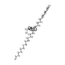 CCCCCCCCCCCCCCCC(=O)OCCCCCCCCCCCC.CCO